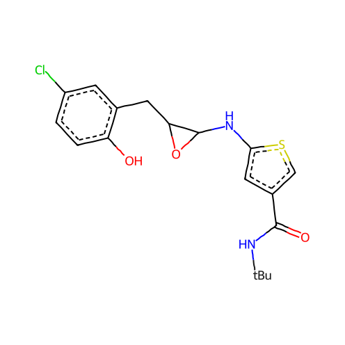 CC(C)(C)NC(=O)c1csc(NC2OC2Cc2cc(Cl)ccc2O)c1